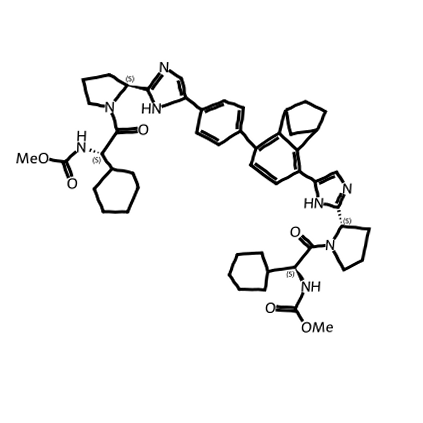 COC(=O)N[C@H](C(=O)N1CCC[C@H]1c1ncc(-c2ccc(-c3ccc(-c4cnc([C@@H]5CCCN5C(=O)[C@@H](NC(=O)OC)C5CCCCC5)[nH]4)c4c3C3CCC4C3)cc2)[nH]1)C1CCCCC1